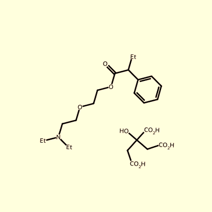 CCC(C(=O)OCCOCCN(CC)CC)c1ccccc1.O=C(O)CC(O)(CC(=O)O)C(=O)O